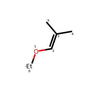 C[CH]OC=C(C)C